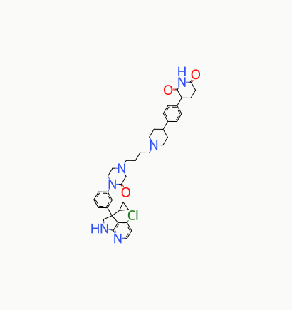 O=C1CCC(c2ccc(C3CCN(CCCCN4CCN(c5cccc(C6(C7CC7)CNc7nccc(Cl)c76)c5)C(=O)C4)CC3)cc2)C(=O)N1